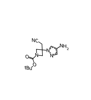 CC(C)(C)OC(=O)N1CC(CC#N)(n2cc(N)cn2)C1